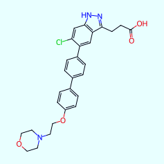 O=C(O)CCc1n[nH]c2cc(Cl)c(-c3ccc(-c4ccc(OCCN5CCOCC5)cc4)cc3)cc12